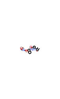 Cc1cccc(-c2cccc(C(=O)Nc3ccc(OCCN4CCOCC4)c4ccccc34)c2)c1C